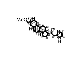 COC[C@@]1(O)CC[C@H]2[C@@H](CC[C@@H]3[C@@H]2CC[C@]2(C)[C@@H](C(=O)Cc4ncc[nH]4)CC[C@@H]32)C1